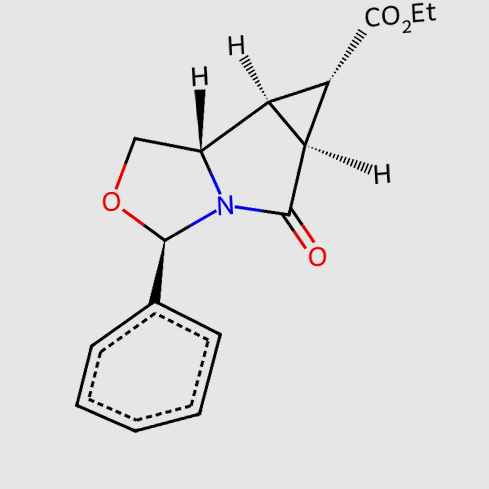 CCOC(=O)[C@@H]1[C@H]2C(=O)N3[C@@H](c4ccccc4)OC[C@@H]3[C@@H]12